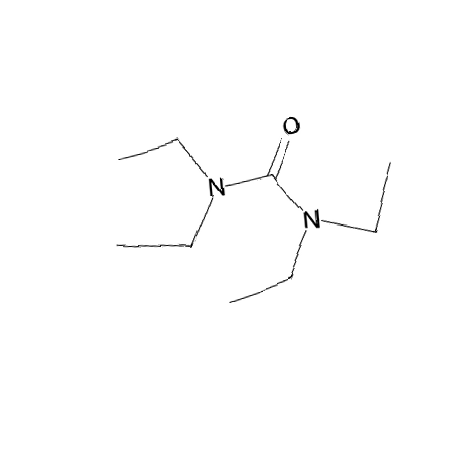 CCN(CC)C(=O)N(CC)CC